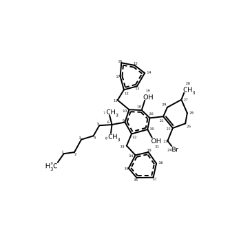 CCCCCCC(C)(C)c1c(Cc2ccccc2)c(O)c(C2=C(CBr)CCC(C)C2)c(O)c1Cc1ccccc1